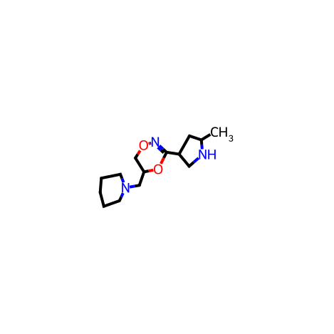 CC1CC(C2=NOCC(CN3CCCCC3)O2)CN1